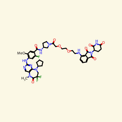 COc1cc(C(=O)N[C@H]2CCN(C(=O)COCCOCCNc3cccc4c3C(=O)N(C3CCC(=O)NC3=O)C4=O)C2)c(F)cc1Nc1ncc2c(n1)N(C1CCCC1)CC(F)(F)C(=O)N2C